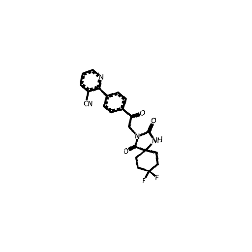 N#Cc1cccnc1-c1ccc(C(=O)CN2C(=O)NC3(CCC(F)(F)CC3)C2=O)cc1